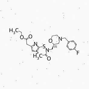 CCOC(=O)Cc1csc(SN(C[C@@H]2CN(Cc3ccc(F)cc3)CCO2)C(C)=O)n1